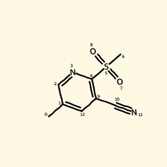 Cc1cnc(S(C)(=O)=O)c(C#N)c1